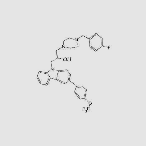 OC(CN1CCN(Cc2ccc(F)cc2)CC1)Cn1c2ccccc2c2cc(-c3ccc(OC(F)(F)F)cc3)ccc21